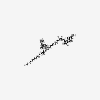 CCCCCCCCCCCCCCCC(=O)OC[C@H](COP(=O)(O)OCC[N+](C)(C)C)OC(=O)CCCCOCCCC[C@H](C)C(=O)NCC(=O)NC(Cc1ccc(O)cc1)C(=O)O